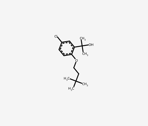 CC(C)(C)CCOc1ccc(Cl)cc1C(C)(C)O